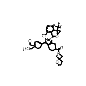 O=CC1(CO)CC=C(c2nn(C(=O)c3c(Cl)cccc3C3(C(F)(F)F)CC3)c3c2CCC(C(=O)N2CC4(CCCO4)C2)C3)CC1